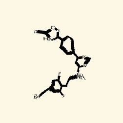 O=c1[nH]c(-c2ccc(-c3cc(NCCc4c(F)cc(Br)cc4F)ncn3)cc2)no1